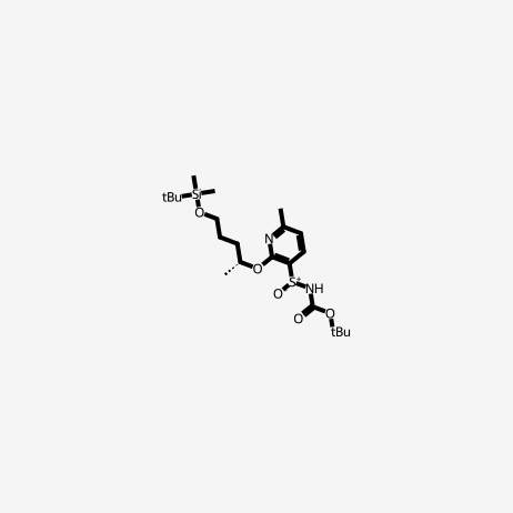 Cc1ccc([S+]([O-])NC(=O)OC(C)(C)C)c(O[C@H](C)CCCO[Si](C)(C)C(C)(C)C)n1